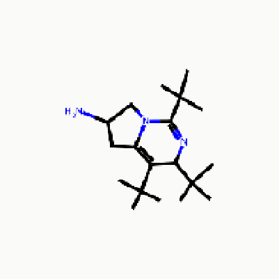 CC(C)(C)C1=NC(C(C)(C)C)C(C(C)(C)C)=C2CC(N)CN12